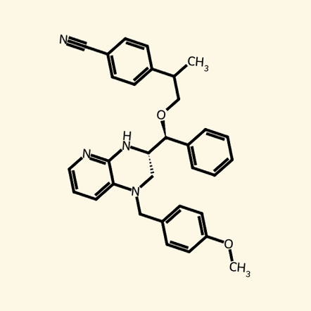 COc1ccc(CN2C[C@@H]([C@@H](OCC(C)c3ccc(C#N)cc3)c3ccccc3)Nc3ncccc32)cc1